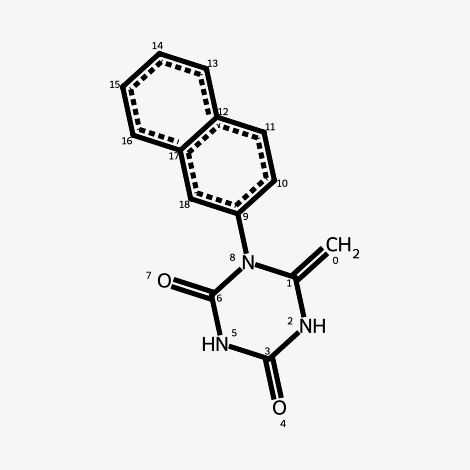 C=C1NC(=O)NC(=O)N1c1ccc2ccccc2c1